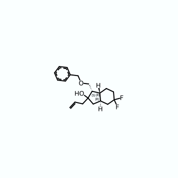 C=CCC1(O)C[C@@H]2CC(F)(F)CC[C@H]2[C@H]1COCc1ccccc1